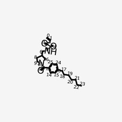 C=CS(=O)(=O)NCC1CCN(C(=O)c2ccc(CCCCCCC)cc2)C1